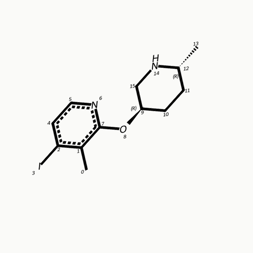 Cc1c(I)ccnc1O[C@@H]1CC[C@@H](C)NC1